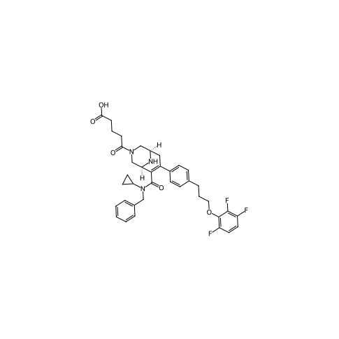 O=C(O)CCCC(=O)N1C[C@H]2CC(c3ccc(CCCOc4c(F)ccc(F)c4F)cc3)=C(C(=O)N(Cc3ccccc3)C3CC3)[C@@H](C1)N2